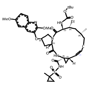 CC[C@@H]1C[C@H](C)CC/C=C\[C@@H]2C[C@@]2(C(=O)NS(=O)(=O)C2(C)CC2)NC(=O)[C@@H]2C[C@@H](Oc3cc4cc(OC)ccc4nc3OC)CN2C(=O)[C@H]1NC(=O)OC(C)(C)C